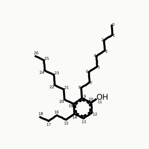 CCCCCCCCCc1c(O)ccc(CCCC)c1CCCCCCC